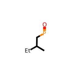 CCC(C)CP=O